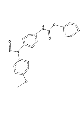 COc1ccc(N(N=O)c2ccc(NC(=O)Oc3ccccc3)cc2)cc1